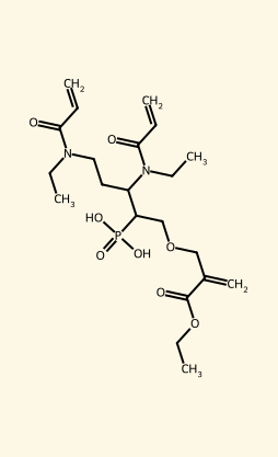 C=CC(=O)N(CC)CCC(C(COCC(=C)C(=O)OCC)P(=O)(O)O)N(CC)C(=O)C=C